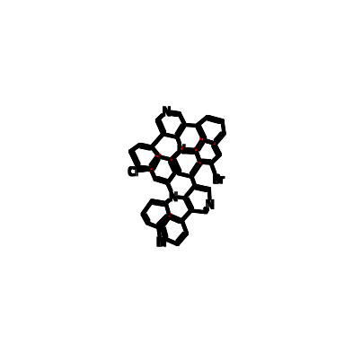 Clc1cc(N(c2cccc(Br)c2)c2c(-c3ccccc3)cncc2-c2ccccc2)cc(N(c2cccc(Br)c2)c2c(-c3ccccc3)cncc2-c2ccccc2)c1